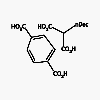 CCCCCCCCCCC(C(=O)O)C(=O)O.O=C(O)c1ccc(C(=O)O)cc1